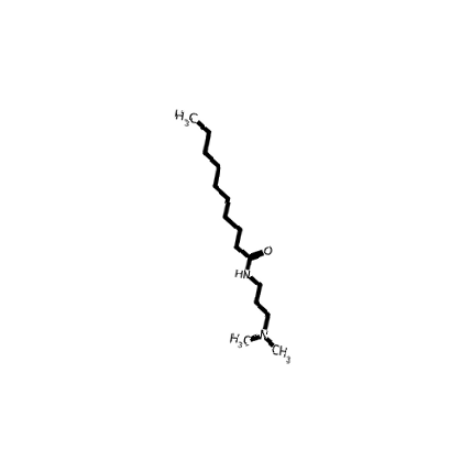 CCCCCCCCCC(=O)NCCCN(C)C